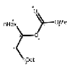 CCCCCCCCCC(CCCCCC)OC(=O)OC